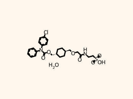 O.O=C(COC[C@H]1CC[C@H](COC(=O)N(c2ccccc2)c2ccc(Cl)cc2)CC1)NCCS(=O)(=O)O